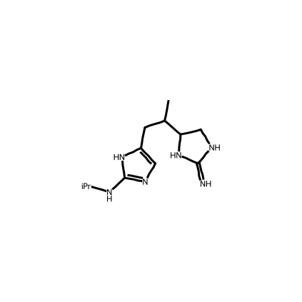 CC(C)Nc1ncc(CC(C)C2CNC(=N)N2)[nH]1